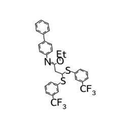 CCOC(CC(Sc1cccc(C(F)(F)F)c1)Sc1cccc(C(F)(F)F)c1)=Nc1ccc(-c2ccccc2)cc1